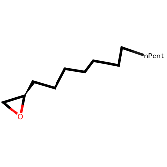 CCCCCCCCCCCC[C@@H]1CO1